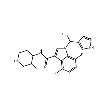 CC(c1cn[nH]c1)n1cc(C(=O)NC2CCNCC2F)c2c(F)ccc(F)c21